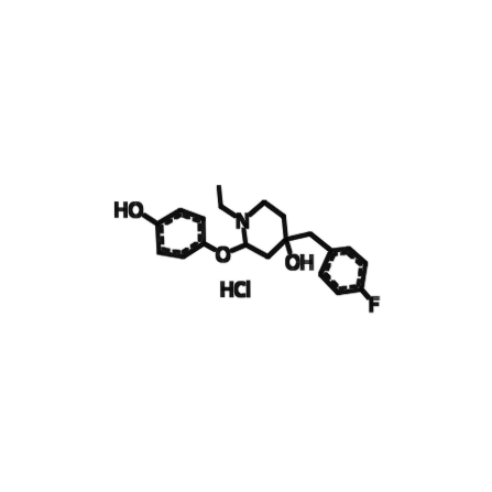 CCN1CCC(O)(Cc2ccc(F)cc2)CC1Oc1ccc(O)cc1.Cl